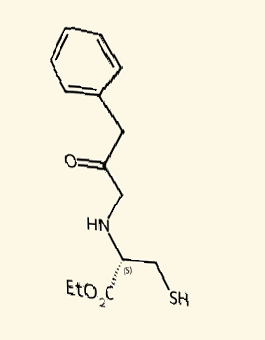 CCOC(=O)[C@@H](CS)NCC(=O)Cc1ccccc1